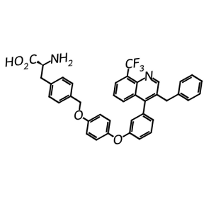 N[C@@H](Cc1ccc(COc2ccc(Oc3cccc(-c4c(Cc5ccccc5)cnc5c(C(F)(F)F)cccc45)c3)cc2)cc1)C(=O)O